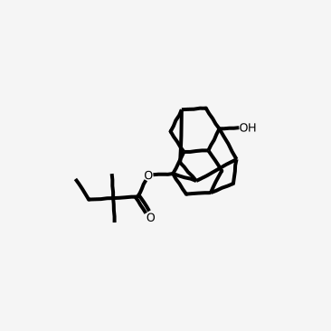 CCC(C)(C)C(=O)OC12CC3CC4C1CC1CC2C(C3)C4(O)C1